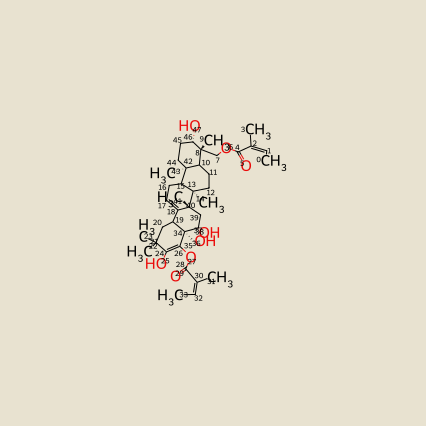 C/C=C(/C)C(=O)OC[C@]1(C)C2CC[C@]3(C)C(CC=C4C5CC(C)(C)C(O)=C(OC(=O)/C(C)=C\C)[C@]5(CO)[C@H](O)C[C@]43C)[C@@]2(C)CC[C@@H]1O